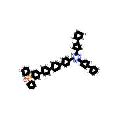 O=P(c1ccccc1)(c1ccccc1)c1ccc(-c2ccc(-c3ccc(-c4ccc(-c5nc(-c6ccc(-c7ccccc7)cc6)nc(-c6ccc(-c7ccccc7)cc6)n5)cc4)cc3)cc2)cc1